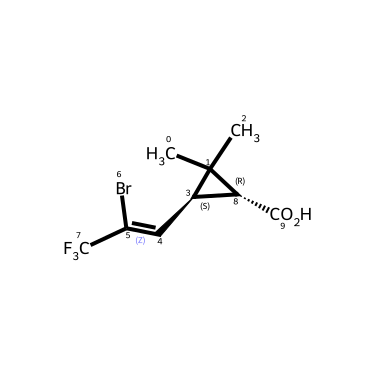 CC1(C)[C@H](/C=C(\Br)C(F)(F)F)[C@H]1C(=O)O